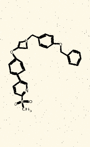 CS(=O)(=O)c1ccc(-c2ccc(OC3CN(Cc4ccc(OCc5ccccc5)cc4)C3)cc2)cn1